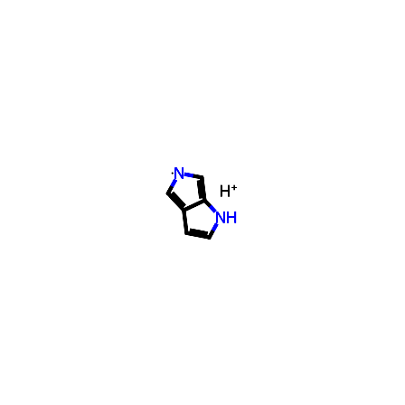 C1=c2cc[nH]c2=C[N]1.[H+]